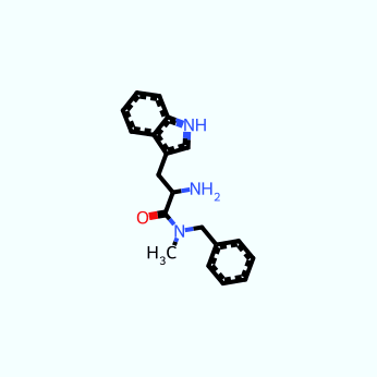 CN(Cc1ccccc1)C(=O)C(N)Cc1c[nH]c2ccccc12